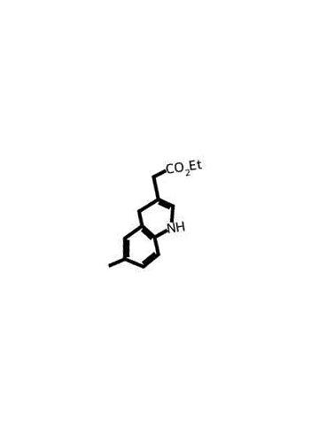 CCOC(=O)CC1=CNc2ccc(C)cc2C1